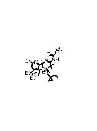 CC[Si](CC)(CC)c1cc(Br)nc([C@]2(C)C[S@](=O)(=NCC3(CI)CC3)C(C)(C)C(NC(=O)OC(C)(C)C)=N2)c1F